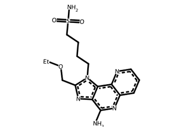 CCOCc1nc2c(N)nc3cccnc3c2n1CCCCS(N)(=O)=O